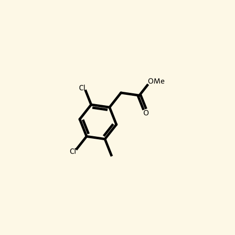 COC(=O)Cc1cc(C)c(Cl)cc1Cl